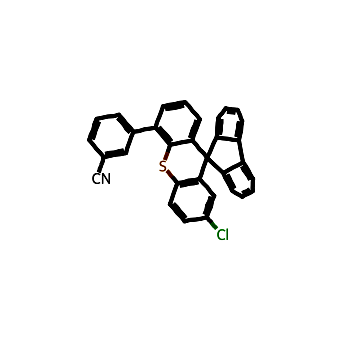 N#Cc1cccc(-c2cccc3c2Sc2ccc(Cl)cc2C32c3ccccc3-c3ccccc32)c1